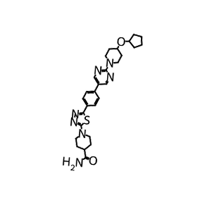 NC(=O)C1CCN(c2nnc(-c3ccc(-c4cnc(N5CCC(OC6CCCC6)CC5)nc4)cc3)s2)CC1